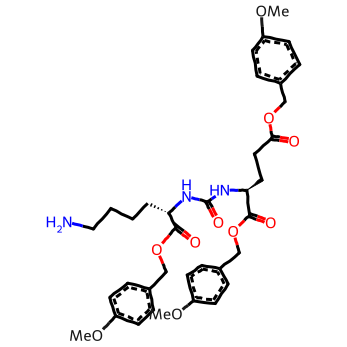 COc1ccc(COC(=O)CC[C@H](NC(=O)N[C@@H](CCCCN)C(=O)OCc2ccc(OC)cc2)C(=O)OCc2ccc(OC)cc2)cc1